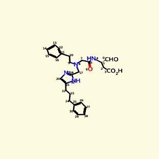 O=C[C@H](CC(=O)O)NC(=O)CN(CCc1ccccc1)Cc1ncc(CCCc2ccccc2)[nH]1